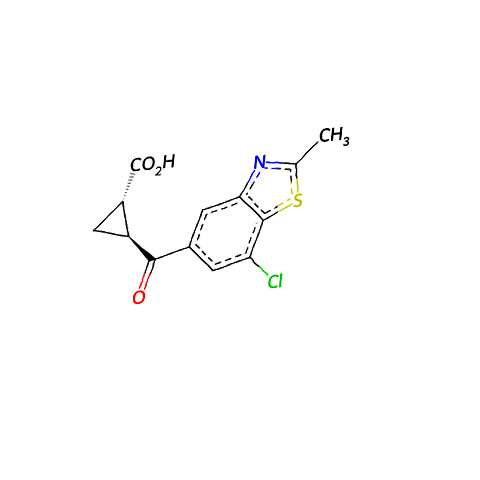 Cc1nc2cc(C(=O)[C@H]3C[C@@H]3C(=O)O)cc(Cl)c2s1